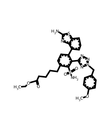 CCOC(=O)CCCCc1ccc(-c2cccc3sc(N)nc23)c(-c2nnn(Cc3ccc(OC)cc3)n2)c1S(N)(=O)=O